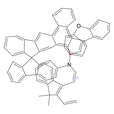 C=CC1=C(/C=C\N(c2ccc3c(c2)C2(c4ccccc4-3)c3ccccc3-c3cc4c5ccccc5c5ccccc5c4cc32)c2ccc3oc4ccccc4c3c2)c2ccccc2C1(C)C